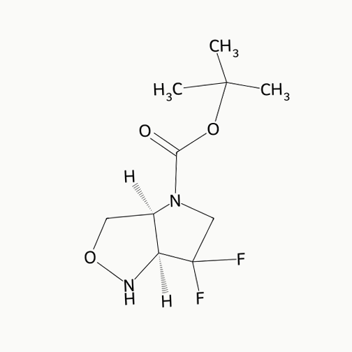 CC(C)(C)OC(=O)N1CC(F)(F)[C@H]2NOC[C@H]21